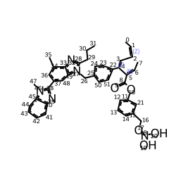 C\C=C/C=C(\C(=C/C)C(=O)Oc1cccc(CON(O)O)c1)c1ccc(Cn2c(CCC)nc3c(C)cc(-c4nc5ccccc5n4C)cc32)cc1